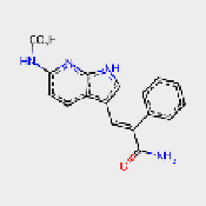 NC(=O)C(=Cc1c[nH]c2nc(NC(=O)O)ccc12)c1ccccc1